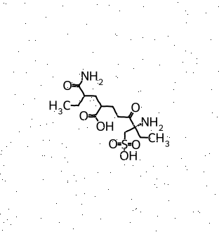 CCC(CC(CCC(=O)[C@](N)(CC)CS(=O)(=O)O)C(=O)O)C(N)=O